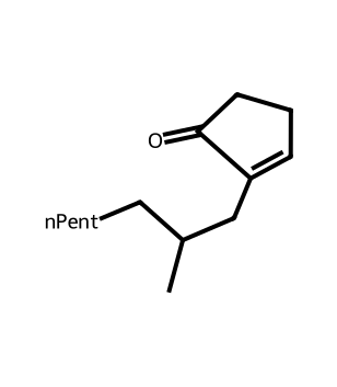 CCCCCCC(C)CC1=CCCC1=O